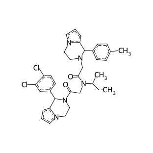 CCC(C)N(CC(=O)N1CCn2cccc2C1c1ccc(Cl)c(Cl)c1)C(=O)CN1CCn2cccc2C1c1ccc(C)cc1